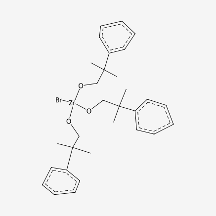 CC(C)(C[O][Zr]([Br])([O]CC(C)(C)c1ccccc1)[O]CC(C)(C)c1ccccc1)c1ccccc1